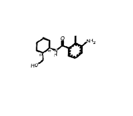 Cc1c(N)cccc1C(=O)N[C@@H]1CCCC[C@@H]1CO